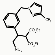 CCOC(=O)C(C(=O)OCC)C(C[N+](=O)[O-])c1cccc(Cn2ccc(C(F)(F)F)n2)c1